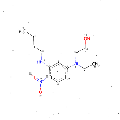 CCCCNc1cc(N(CC)CCO)ccc1[N+](=O)[O-]